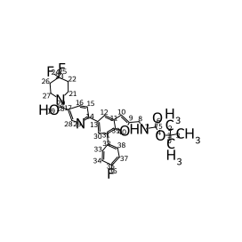 CC(C)(C)OC(=O)NCc1cc2cc(-c3ccc(C(O)N4CCC(F)(F)CC4)cn3)cc(-c3ccc(F)cc3)c2o1